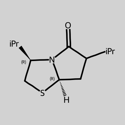 CC(C)C1C[C@H]2SC[C@@H](C(C)C)N2C1=O